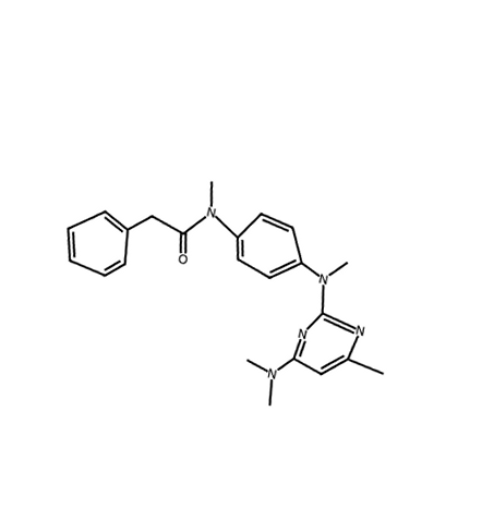 Cc1cc(N(C)C)nc(N(C)c2ccc(N(C)C(=O)Cc3ccccc3)cc2)n1